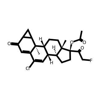 CC(=O)O[C@@]1(C(=O)CF)CC[C@H]2[C@@H]3C=C(Cl)C4=CC(=O)C5CC5[C@@]4(C)[C@@H]3CC[C@@]21C